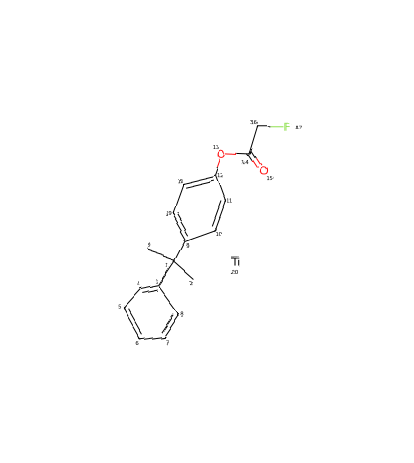 CC(C)(c1ccccc1)c1ccc(OC(=O)CF)cc1.[Ti]